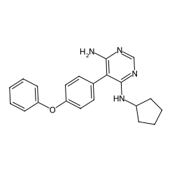 Nc1ncnc(NC2CCCC2)c1-c1ccc(Oc2ccccc2)cc1